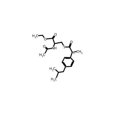 CCOC(=O)C(CSC(=O)[C@@H](C)c1ccc(CC(C)C)cc1)NC(C)=O